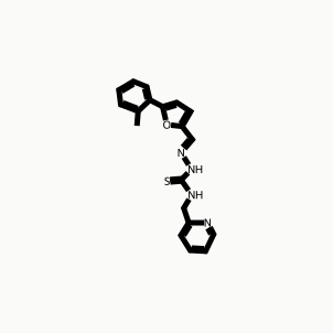 Cc1ccccc1-c1ccc(C=NNC(=S)NCc2ccccn2)o1